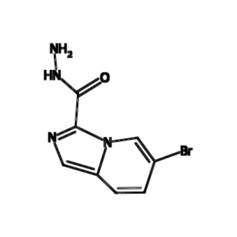 NNC(=O)c1ncc2ccc(Br)cn12